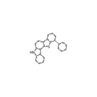 c1ccc(-c2cccc3c2sc2c3ccc3[nH]c4ccccc4c32)cc1